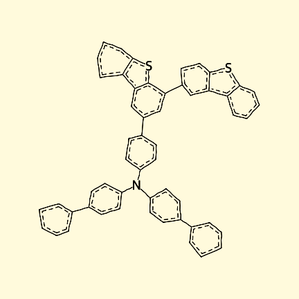 c1ccc(-c2ccc(N(c3ccc(-c4ccccc4)cc3)c3ccc(-c4cc(-c5ccc6sc7ccccc7c6c5)c5sc6ccccc6c5c4)cc3)cc2)cc1